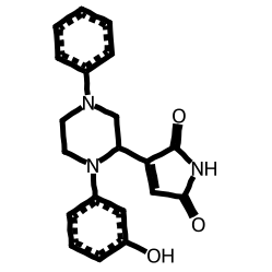 O=C1C=C(C2CN(c3ccccc3)CCN2c2cccc(O)c2)C(=O)N1